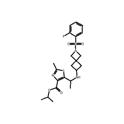 Cc1nc(C(=O)OC(C)C)c(C(C)NC2CC3(C2)CN(S(=O)(=O)c2ccccc2F)C3)s1